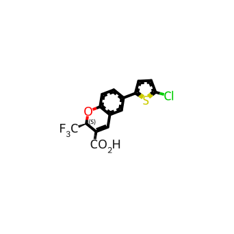 O=C(O)C1=Cc2cc(-c3ccc(Cl)s3)ccc2O[C@@H]1C(F)(F)F